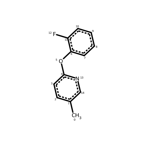 Cc1ccc(Oc2ccccc2F)nc1